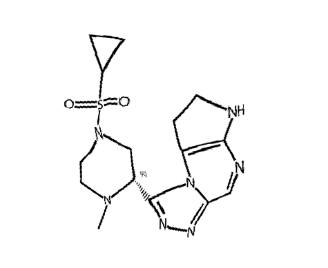 CN1CCN(S(=O)(=O)C2CC2)C[C@@H]1c1nnc2cnc3c(n12)CCN3